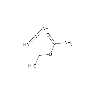 CCOC(N)=O.N=[N+]=N